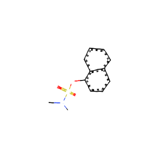 CN(C)S(=O)(=O)Oc1cccc2ccccc12